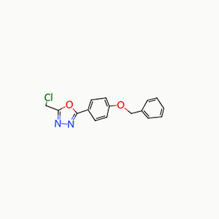 ClCc1nnc(-c2ccc(OCc3ccccc3)cc2)o1